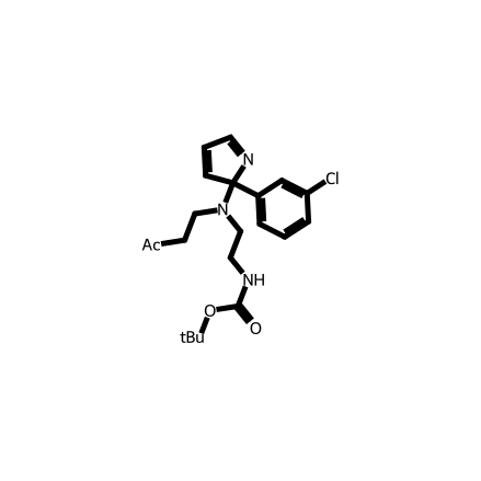 CC(=O)CCN(CCNC(=O)OC(C)(C)C)C1(c2cccc(Cl)c2)C=CC=N1